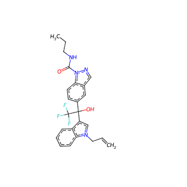 C=CCn1cc(C(O)(c2ccc3c(cnn3C(=O)NCCC)c2)C(F)(F)F)c2ccccc21